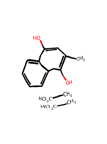 CC(=O)O.CC(=O)O.Cc1cc(O)c2ccccc2c1O